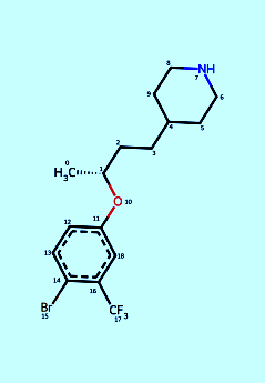 C[C@H](CCC1CCNCC1)Oc1ccc(Br)c(C(F)(F)F)c1